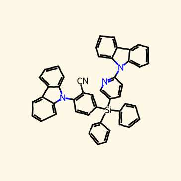 N#Cc1cc([Si](c2ccccc2)(c2ccccc2)c2ccc(-n3c4ccccc4c4ccccc43)nc2)ccc1-n1c2ccccc2c2ccccc21